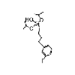 CC(C)O[Si](O)(CCCCc1cccc(F)c1)OC(C)C